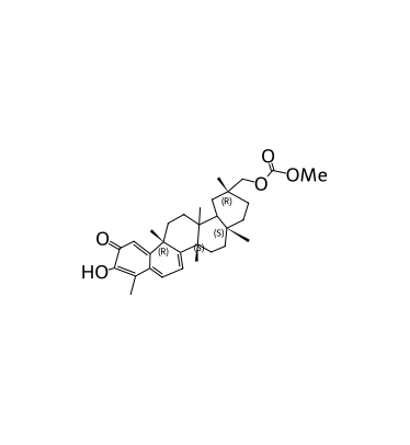 COC(=O)OC[C@]1(C)CC[C@]2(C)CC[C@]3(C)C4=CC=C5C(=CC(=O)C(O)=C5C)[C@]4(C)CCC3(C)C2C1